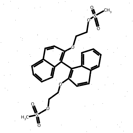 CS(=O)(=O)OCCOc1ccc2ccccc2c1-c1c(OCCOS(C)(=O)=O)ccc2ccccc12